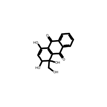 O=C1C2=C(C(=O)c3ccccc31)C(O)(CO)C(O)C=C2O